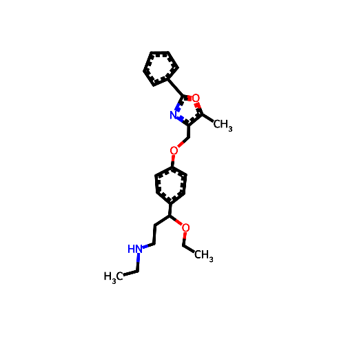 CCNCCC(OCC)c1ccc(OCc2nc(-c3ccccc3)oc2C)cc1